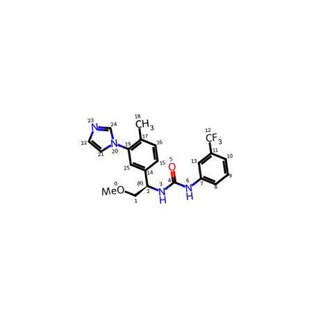 COC[C@H](NC(=O)Nc1cccc(C(F)(F)F)c1)c1ccc(C)c(-n2ccnc2)c1